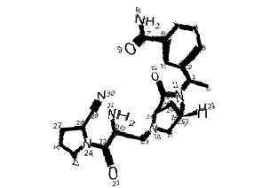 CC(c1cccc(C(N)=O)c1)N1C(=O)C2C[C@H]1CN2CC(N)C(=O)N1CCCC1C#N